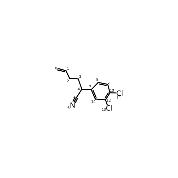 C=CCCC(C#N)c1ccc(Cl)c(Cl)c1